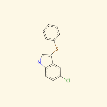 Clc1ccc2c(c1)C(Sc1ccccc1)=C[N]2